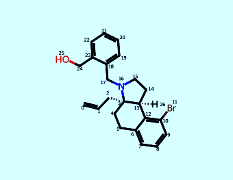 C=CC[C@@]12CCc3cccc(Br)c3[C@@H]1CCN2Cc1ccccc1CO